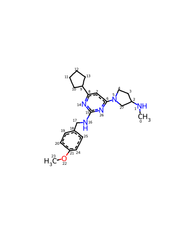 CNC1CCN(c2cc(C3CCCC3)nc(NCc3ccc(OC)cc3)n2)C1